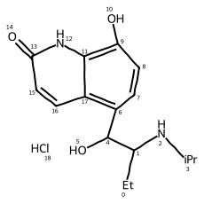 CCC(NC(C)C)C(O)c1ccc(O)c2[nH]c(=O)ccc12.Cl